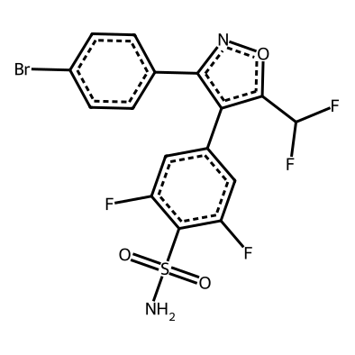 NS(=O)(=O)c1c(F)cc(-c2c(-c3ccc(Br)cc3)noc2C(F)F)cc1F